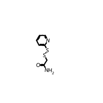 NC(=O)CSSc1ccccn1